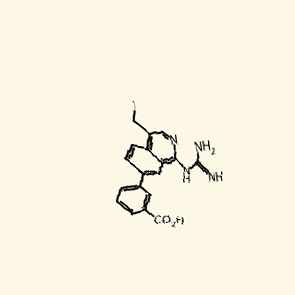 N=C(N)Nc1ncc(CI)c2ccc(-c3cccc(C(=O)O)c3)cc12